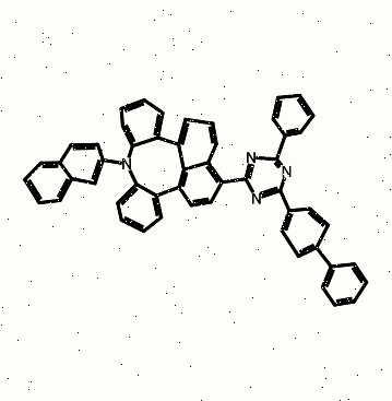 c1ccc(-c2ccc(-c3nc(-c4ccccc4)nc(-c4ccc5c6c(cccc46)-c4ccccc4N(c4ccc6ccccc6c4)c4ccccc4-5)n3)cc2)cc1